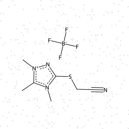 Cc1n(C)c(SCC#N)n[n+]1C.F[B-](F)(F)F